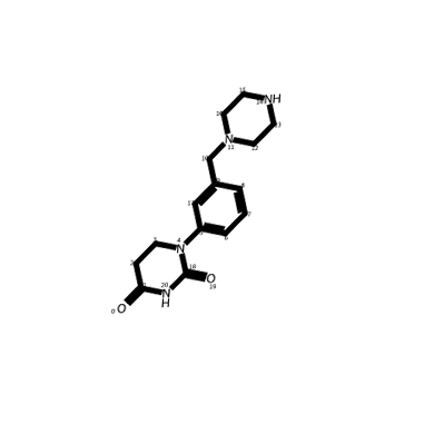 O=C1CCN(c2cccc(CN3CCNCC3)c2)C(=O)N1